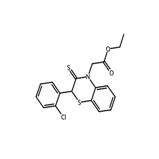 CCOC(=O)CN1C(=S)C(c2ccccc2Cl)Sc2ccccc21